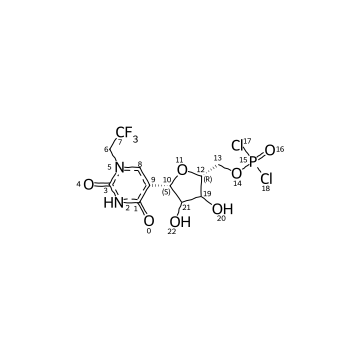 O=c1[nH]c(=O)n(CC(F)(F)F)cc1[C@@H]1O[C@H](COP(=O)(Cl)Cl)C(O)C1O